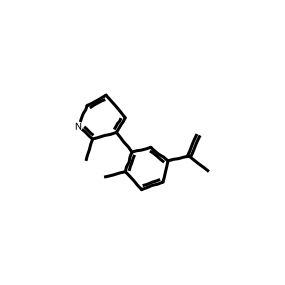 C=C(C)c1ccc(C)c(-c2cccnc2C)c1